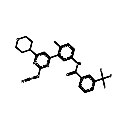 Cc1ccc(NC(=O)c2cccc(C(F)(F)F)c2)cc1-c1cc(N2CCOCC2)nc(N=[N+]=[N-])n1